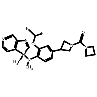 CN(c1ccc(C2CN(C(=O)N3CCC3)C2)cc1OC(F)F)[N+]1(C)C=Nc2cnccc21